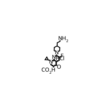 Cl.NCCC1CCN(c2nc3c(cc2F)c(=O)c(C(=O)O)cn3C2CC2)CC1